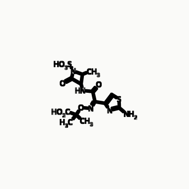 CC1C(NC(=O)C(=NOC(C)(C)C(=O)O)c2csc(N)n2)C(=O)N1S(=O)(=O)O